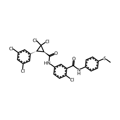 CSc1ccc(NC(=O)c2cc(NC(=O)[C@H]3[C@H](c4cc(Cl)cc(Cl)c4)C3(Cl)Cl)ccc2Cl)cc1